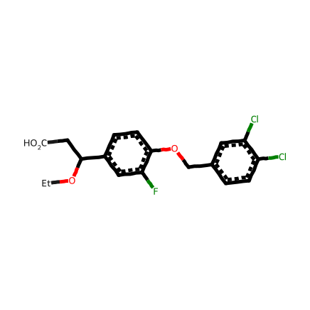 CCOC(CC(=O)O)c1ccc(OCc2ccc(Cl)c(Cl)c2)c(F)c1